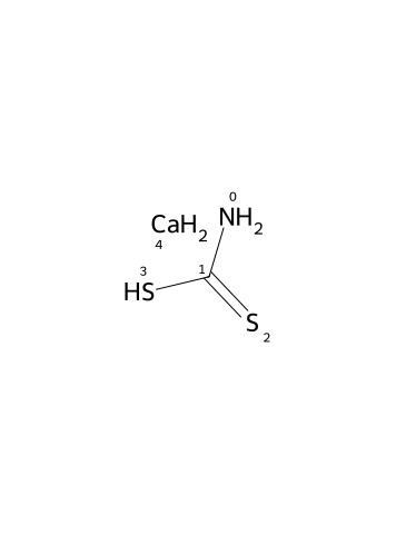 NC(=S)S.[CaH2]